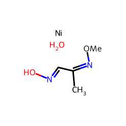 CON=C(C)C=NO.O.[Ni]